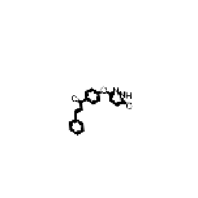 O=C(/C=C/c1ccccc1)c1ccc(Oc2ccc(=O)[nH]n2)cc1